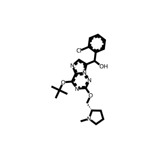 CN1CCC[C@H]1COc1nc(OC(C)(C)C)c2ncc(C(O)c3ccccc3Cl)n2n1